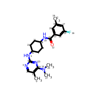 Cc1cnc(NC2CCC(NC(=O)c3cc(F)cc(C(F)(F)F)c3)CC2)nc1N(C)C